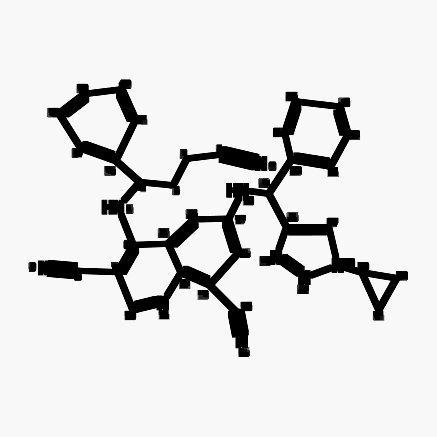 N#CCCC(Nc1c(C#N)cnc2c(C#N)cc(NC(c3ccccc3)c3cn(C4CC4)nn3)cc12)c1ccccc1